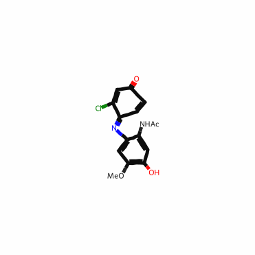 COc1cc(N=C2C=CC(=O)C=C2Cl)c(NC(C)=O)cc1O